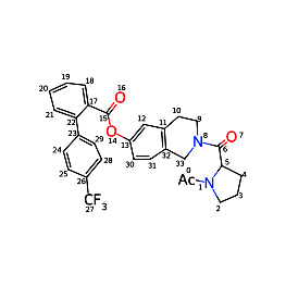 CC(=O)N1CCCC1C(=O)N1CCc2cc(OC(=O)c3ccccc3-c3ccc(C(F)(F)F)cc3)ccc2C1